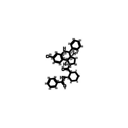 O=C(N[C@@H]1CCCCC1C(=O)N1CC[C@@H]2[C@H](c3ccccc3)Nc3cc(Cl)ccc3[C@@H]21)c1ccccc1